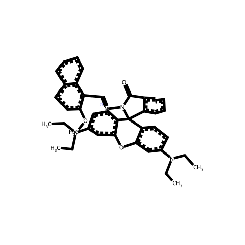 CCN(CC)c1ccc2c(c1)Oc1cc(N(CC)CC)ccc1C21c2ccccc2C(=O)N1/N=C/c1c(OC)ccc2ccccc12